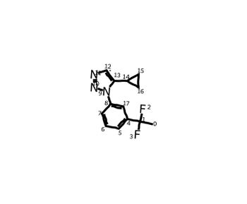 CC(F)(F)c1cccc(-n2nn[c]c2C2CC2)c1